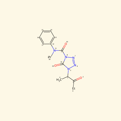 CCC(=O)C(C)n1nnn(C(=O)N(c2ccccc2)C(C)C)c1=O